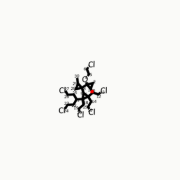 CC1CC1(OCCCl)C1([C]2C(CCCl)(CCCl)C2(CCCl)C(CCCl)CCCl)CC1C